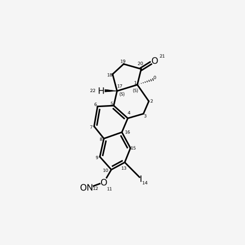 C[C@]12CCc3c(ccc4cc(ON=O)c(I)cc34)[C@@H]1CCC2=O